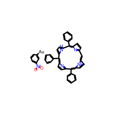 C1=Cc2nc1cc1ccc([nH]1)c(-c1ccccc1)c1nc(c(-c3ccccc3)c3ccc([nH]3)c2-c2ccccc2)C=C1.O=[N+]([O-])c1ccc[c]([Au])c1